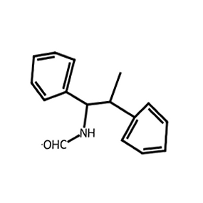 CC(c1ccccc1)C(N[C]=O)c1ccccc1